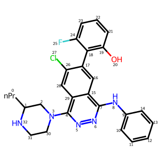 CCCC1CN(c2nnc(Nc3ccccc3)c3cc(-c4c(O)cccc4F)c(Cl)cc23)CCN1